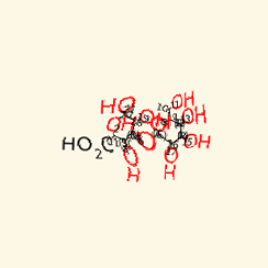 O=C(O)C(O)[C@H](O)[C@H](O[C@@H]1OC(CO)[C@H](O)[C@@H](O)C1O)C(O)CO